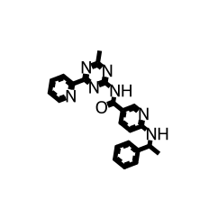 Cc1nc(NC(=O)c2ccc(NC(C)c3ccccc3)nc2)nc(-c2ccccn2)n1